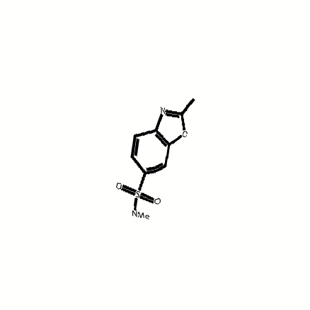 CNS(=O)(=O)c1ccc2nc(C)oc2c1